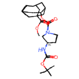 COC(=O)C12CC3CC(C1)C(OC(=O)N1CC[C@@H](NC(=O)OC(C)(C)C)C1)C(C3)C2